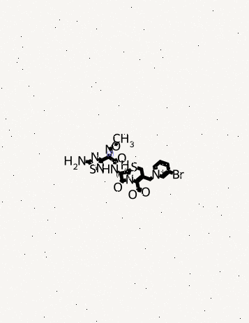 CO/N=C(\C(=O)N[C@@H]1C(=O)N2C(C(=O)[O-])=C(C[n+]3cccc(Br)c3)CS[C@@H]12)c1nsc(N)n1